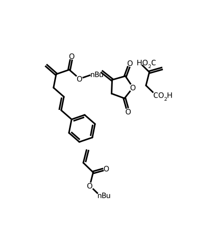 C=C(CC(=O)O)C(=O)O.C=C(CC=Cc1ccccc1)C(=O)OCCCC.C=C1CC(=O)OC1=O.C=CC(=O)OCCCC